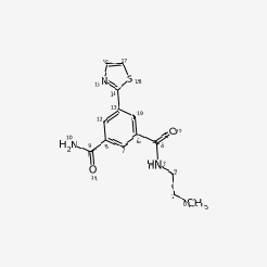 CCCNC(=O)c1cc(C(N)=O)cc(-c2nccs2)c1